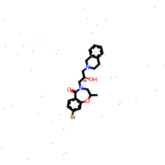 CC1CN(C[C@H](O)CN2CCc3ccccc3C2)C(=O)c2ccc(Br)cc2O1